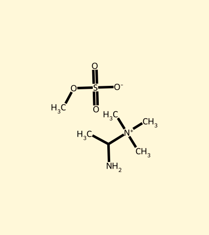 CC(N)[N+](C)(C)C.COS(=O)(=O)[O-]